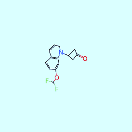 O=C1CC(N2CC=Cc3ccc(OC(F)F)cc32)C1